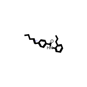 CCC/C=C/c1ccc(C(=O)Nc2ccccc2CCC)cc1